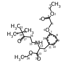 CCOC(=O)COc1cccc(CC(NCCC(=O)C(C)(C)C)C(=O)OCC)c1